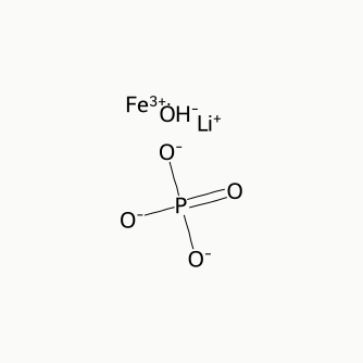 O=P([O-])([O-])[O-].[Fe+3].[Li+].[OH-]